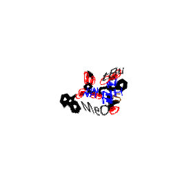 COC(=O)c1csc(NC(=O)C(Cc2cc3ccccc3n2C(=O)OC(C)(C)C)NC(=O)C(NC(=O)OCC2c3ccccc3-c3ccccc32)c2ccc3c(c2)OCCO3)n1